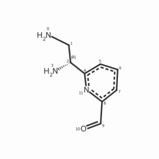 NC[C@@H](N)c1cccc(C=O)n1